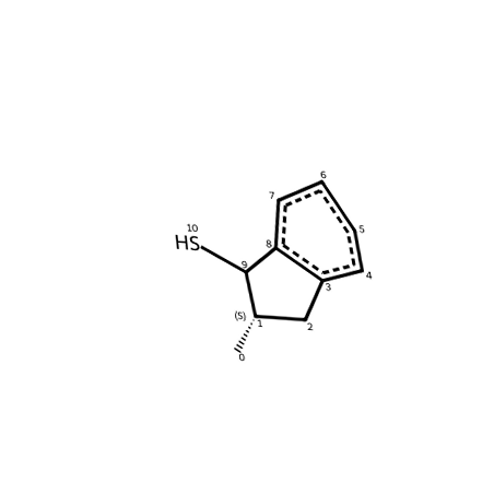 C[C@H]1Cc2ccccc2C1S